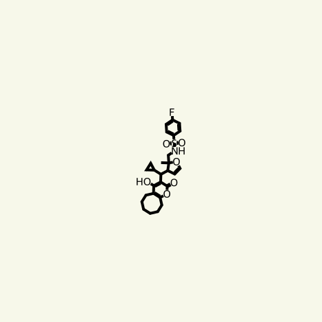 CC1(CNS(=O)(=O)c2ccc(F)cc2)OC=CC1C(c1c(O)c2c(oc1=O)CCCCCC2)C1CC1